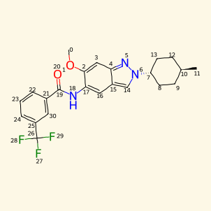 COc1cc2nn([C@H]3CC[C@H](C)CC3)cc2cc1NC(=O)c1cccc(C(F)(F)F)c1